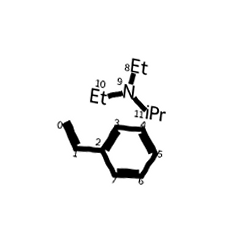 C=Cc1ccccc1.CCN(CC)C(C)C